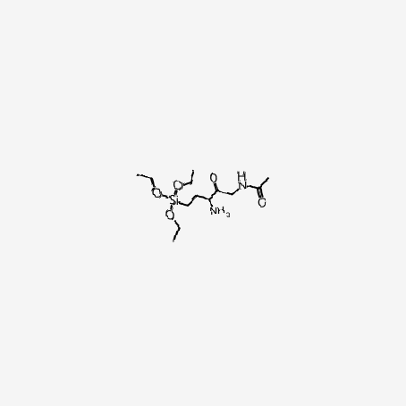 CCO[Si](CCC(N)C(=O)CNC(C)=O)(OCC)OCC